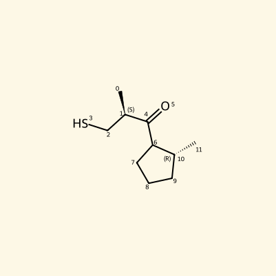 C[C@H](CS)C(=O)C1CCC[C@H]1C